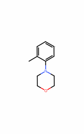 Cc1cc[c]cc1N1CCOCC1